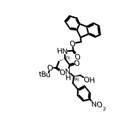 CC(C)(C)OC(=O)C[C@H](NC(=O)OCC1c2ccccc2-c2ccccc21)C(=O)N[C@@H](CO)Cc1ccc([N+](=O)[O-])cc1